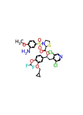 COc1ccc(S(=O)(=O)N2CCSC2C(=O)O[C@@H](Cc2c(Cl)cncc2Cl)c2ccc(OC(F)F)c(OCC3CC3)c2)cc1N